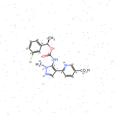 C[C@@H](OC(=O)Nc1c(-c2ccc(C(=O)O)cn2)cnn1C)c1cccc(F)c1